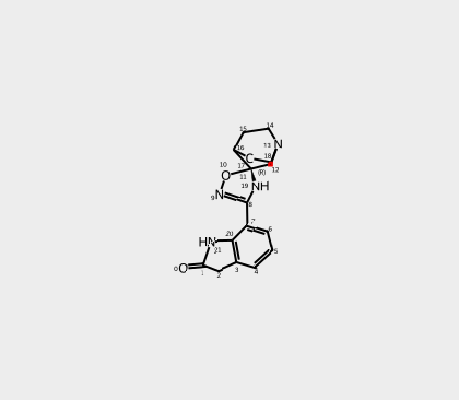 O=C1Cc2cccc(C3=NO[C@]4(CN5CCC4CC5)N3)c2N1